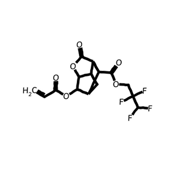 C=CC(=O)OC1C2CC3C1OC(=O)C3C2C(=O)OCC(F)(F)C(F)F